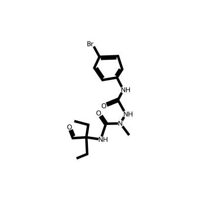 CCC(C=O)(CC)NC(=O)N(C)NC(=O)Nc1ccc(Br)cc1